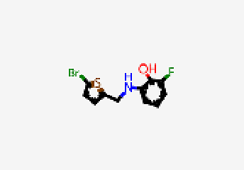 Oc1c(F)cccc1NCc1ccc(Br)s1